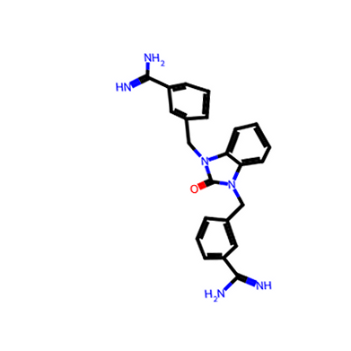 N=C(N)c1cccc(Cn2c(=O)n(Cc3cccc(C(=N)N)c3)c3ccccc32)c1